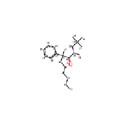 CCCCCCC(C)(C(=O)C(C)CC(C)(C)C)c1ccccc1